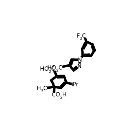 CC(C)C1=CC(C)(C(=O)O)CC(C(=O)O)=C1.O=C(O)c1cnn(-c2cccc(C(F)(F)F)c2)c1